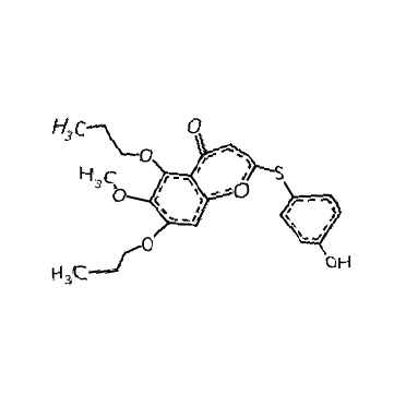 CCCOc1cc2oc(Sc3ccc(O)cc3)cc(=O)c2c(OCCC)c1OC